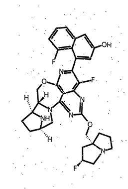 Oc1cc(-c2nc3c4c(nc(OC[C@]56CCCN5C[C@@H](F)C6)nc4c2F)N2C[C@H]4CC[C@H](N4)[C@@H]2CO3)c2c(F)cccc2c1